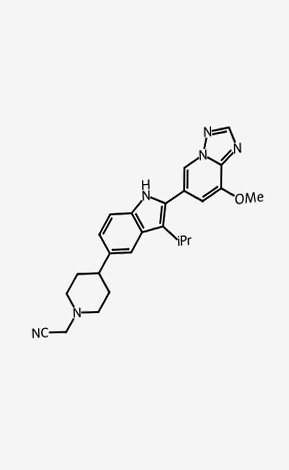 COc1cc(-c2[nH]c3ccc(C4CCN(CC#N)CC4)cc3c2C(C)C)cn2ncnc12